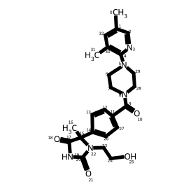 Cc1cnc(N2CCN(C(=O)c3ccc(C4(C)C(=O)NC(=O)N4CCO)cc3)CC2)c(C)c1